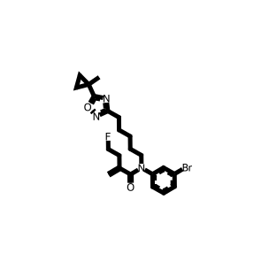 C=C(CCF)C(=O)N(CCCCCc1noc(C2(C)CC2)n1)c1cccc(Br)c1